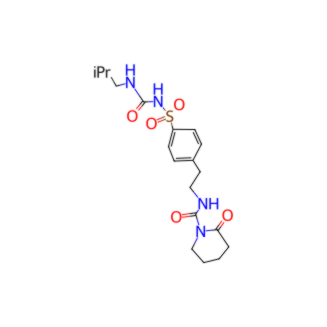 CC(C)CNC(=O)NS(=O)(=O)c1ccc(CCNC(=O)N2CCCCC2=O)cc1